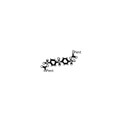 CCCCCC(=O)OS(=O)(=O)c1ccc(S(=O)(=O)c2ccc(S(=O)(=O)OC(=O)CCCCC)cc2)cc1